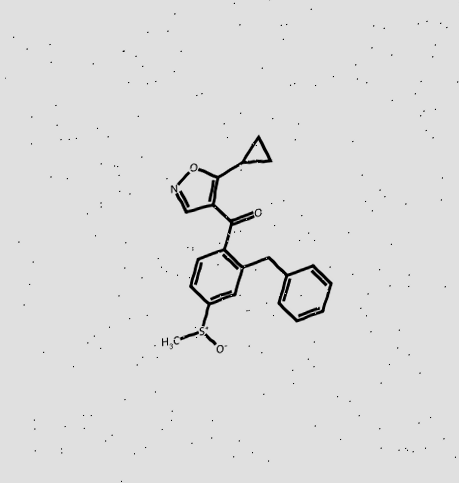 C[S+]([O-])c1ccc(C(=O)c2cnoc2C2CC2)c(Cc2ccccc2)c1